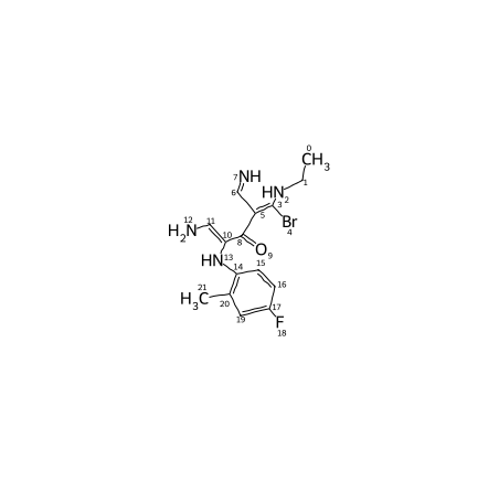 CCN/C(Br)=C(\C=N)C(=O)/C(=C/N)Nc1ccc(F)cc1C